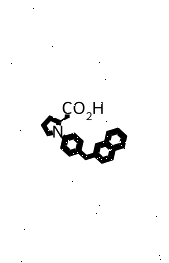 O=C(O)C[C@@H]1CCCN1c1ccc(Cc2ccc3ccccc3c2)cc1